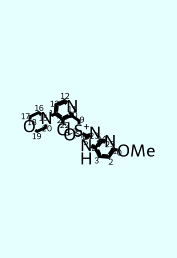 COc1ccc2[nH]c([S@+]([O-])Cc3nccc(N4CCOCC4)c3Cl)nc2n1